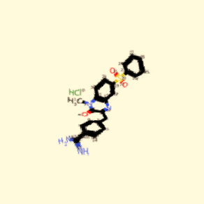 Cl.Cn1c(=O)c(Cc2ccc(C(=N)N)cc2)nc2cc(S(=O)(=O)c3ccccc3)ccc21